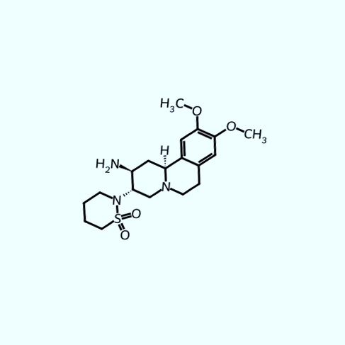 COc1cc2c(cc1OC)[C@@H]1C[C@H](N)[C@@H](N3CCCCS3(=O)=O)CN1CC2